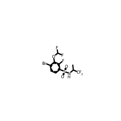 CC(NS(=O)(=O)c1ccc(Br)c(OC(F)F)c1F)C(F)(F)F